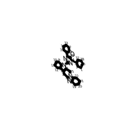 c1ccc(-c2nc(-n3c4ccccc4c4cc5nc6ccccc6n5cc43)nc3c2oc2ccccc23)cc1